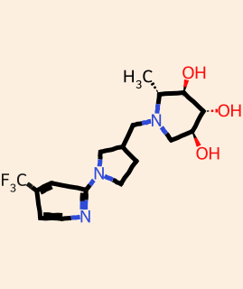 C[C@@H]1[C@@H](O)[C@H](O)[C@@H](O)CN1CC1CCN(c2cc(C(F)(F)F)ccn2)C1